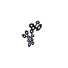 c1ccc(-c2ccc(N(c3cccc(-c4ccc5c(c4)c(-c4ccccc4)c(-c4ccccc4)c4ccccc45)c3)c3ccc4c(c3)C(c3ccccc3)(c3ccccc3)c3ccccc3-4)cc2-c2ccccc2)cc1